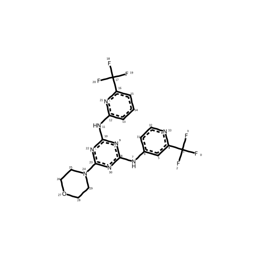 FC(F)(F)c1cc(Nc2nc(Nc3cccc(C(F)(F)F)n3)nc(N3CCOCC3)n2)ccn1